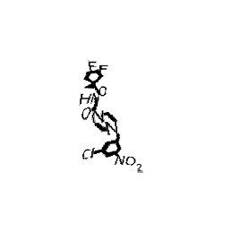 O=C(NCC(=O)N1CCN(Cc2cc(Cl)cc([N+](=O)[O-])c2)CC1)C1CC12CCC(F)(F)CC2